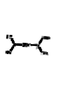 CO[SiH](OC)OC.OB(O)O